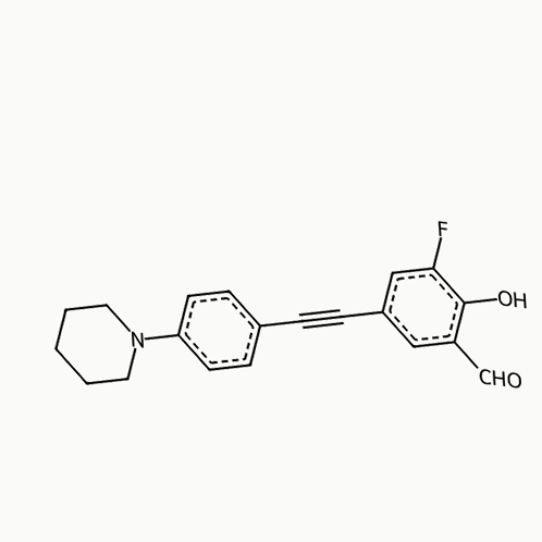 O=Cc1cc(C#Cc2ccc(N3CCCCC3)cc2)cc(F)c1O